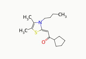 CCCCN1C(C)=C(C)S/C1=C\C(=O)C1CCCC1